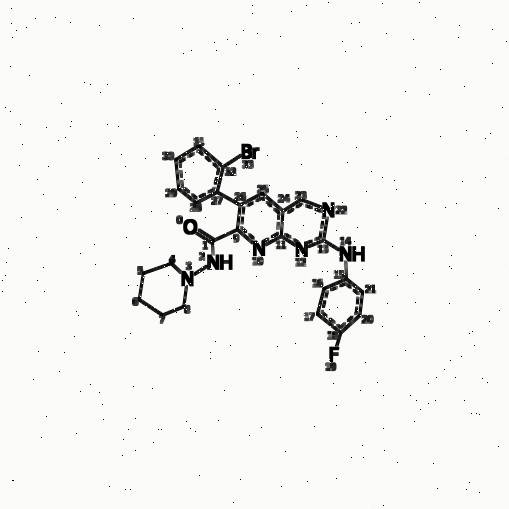 O=C(NN1CCCCC1)c1nc2nc(Nc3ccc(F)cc3)ncc2cc1-c1ccccc1Br